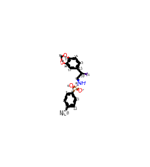 N#Cc1ccc(S(=O)(=O)NCC(I)c2ccc3c(c2)OCO3)cc1